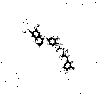 COc1cc2nccc(Oc3ccc(NC(=S)NC(=O)Cc4ccc(F)c(F)c4)c(F)c3)c2cc1OC